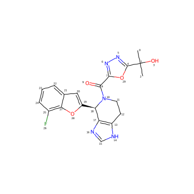 CC(C)(O)c1nnc(C(=O)N2CCc3[nH]cnc3[C@H]2c2cc3cccc(F)c3o2)o1